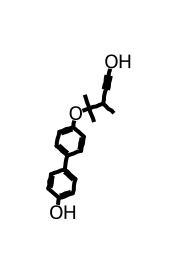 CC(C#CO)C(C)(C)Oc1ccc(-c2ccc(O)cc2)cc1